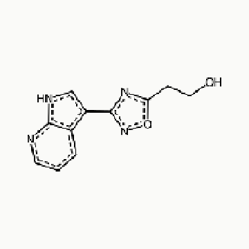 OCCc1nc(-c2c[nH]c3ncccc23)no1